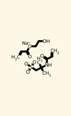 C=CC(=O)NC(C)(C)CS(=O)(=O)[O-].C=CC(=O)OCCO.[Na+]